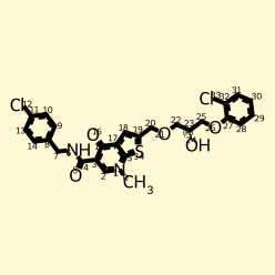 Cn1cc(C(=O)NCc2ccc(Cl)cc2)c(=O)c2cc(COC[C@@H](O)COc3ccccc3Cl)sc21